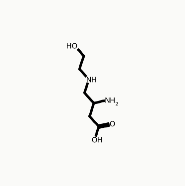 NC(CNCCO)CC(=O)O